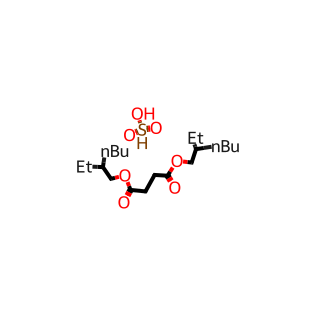 CCCCC(CC)COC(=O)CCC(=O)OCC(CC)CCCC.O=[SH](=O)O